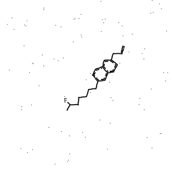 C=CCc1ccc2cc(CCCCCC(C)F)ccc2c1